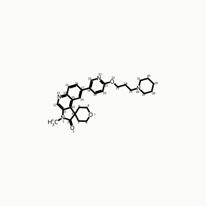 CN1C(=O)C2(CCOCC2)c2c1cnc1ccc(-c3ccc(OCCCN4CCCCC4)nc3)cc21